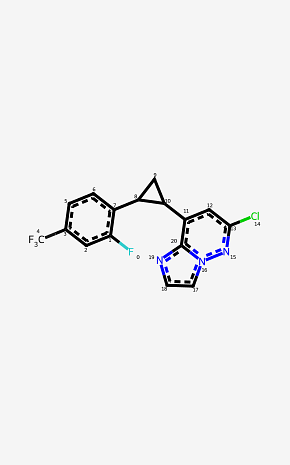 Fc1cc(C(F)(F)F)ccc1C1CC1c1cc(Cl)nn2ccnc12